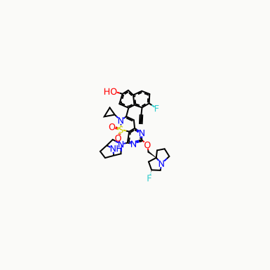 C#Cc1c(F)ccc2cc(O)cc(C3=Cc4nc(OC[C@@]56CCCN5C[C@H](F)C6)nc(N5CC6CCC(C5)N6)c4S(=O)(=O)N3C3CC3)c12